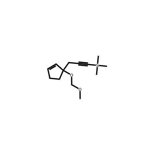 COCOC1(CC#C[Si](C)(C)C)C=C[CH]C1